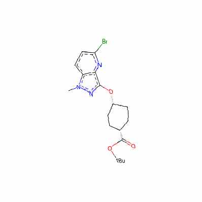 Cn1nc(O[C@H]2CC[C@@H](C(=O)OC(C)(C)C)CC2)c2nc(Br)ccc21